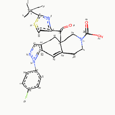 C[Si](C)(C)c1nc(C(=O)C23Cc4cnn(-c5ccc(F)cc5)c4C=C2CCN(C(=O)O)C3)cs1